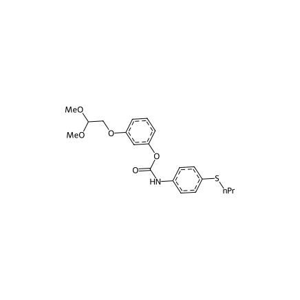 CCCSc1ccc(NC(=O)Oc2cccc(OCC(OC)OC)c2)cc1